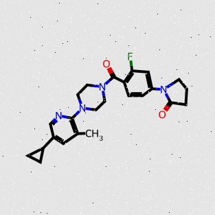 Cc1cc(C2CC2)cnc1N1CCN(C(=O)c2ccc(N3CCCC3=O)cc2F)CC1